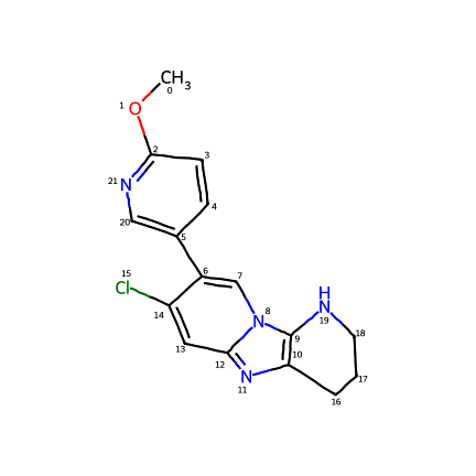 COc1ccc(-c2cn3c4c(nc3cc2Cl)CCCN4)cn1